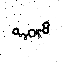 O=C(COc1ccccc1)N1CCCN(C(=O)Nc2cccc3ccccc23)CC1